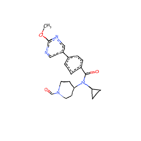 COc1ncc(-c2ccc(C(=O)N(C3CC3)C3CCN(C=O)CC3)cc2)cn1